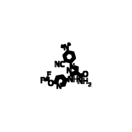 CN(C)[C@@H]1CC[C@H](n2cc(C(N)=O)c(Nc3ccc(OC(F)F)nc3)n2)[C@@H](C#N)C1